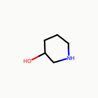 OC1CC[CH]NC1